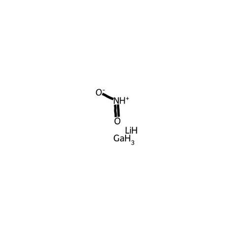 O=[NH+][O-].[GaH3].[LiH]